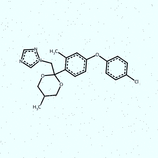 Cc1cc(Oc2ccc(Cl)cc2)ccc1C1(Cn2cncn2)OCC(C)CO1